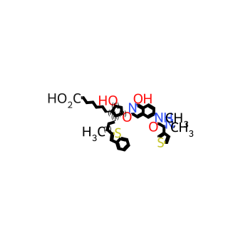 C[C@H](CC[C@@H]1[C@@H](CCCCCCC(=O)O)[C@@H](O)C[C@H]1Oc1cc2cc(NC(=O)C(c3ccsc3)N(C)C)ccc2c(O)n1)c1cc2ccccc2s1